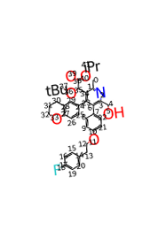 Cc1nc(CO)c(-c2ccc(OCCc3ccc(F)cc3)cc2)c(-c2ccc3c(c2)CCCO3)c1C(OC(C)(C)C)C(=O)OC(C)C